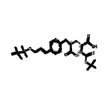 CC(C)(C)OC(=O)N[C@H](C[C@H](Cc1ccc(C=CCO[Si](C)(C)C(C)(C)C)cn1)C(=O)O)C(=O)O